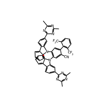 Cc1nc(C)nc(-c2ccc3c4ccccc4n(-c4cc(C#N)c(-c5c(C(F)(F)F)cccc5C(F)(F)F)cc4-n4c5ccccc5c5ccc(-c6nc(C)nc(C)n6)cc54)c3c2)n1